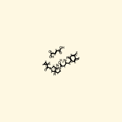 NC(CC(=O)N1CC[C@H]2CN(C(=O)C3(F)CC3)C[C@H]21)Cc1cc(F)c(F)cc1F.O=C(O)C=CC(=O)O